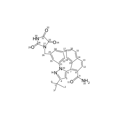 CC(C)(C)c1cc(-c2c(C(N)=O)ccc3ccccc23)n(-c2cccc(CN3C(=O)NC(=O)C3=O)c2)n1